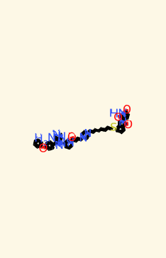 Nc1ncnc2c1c(-c1ccc(Oc3ccccc3)cc1)nn2[C@@H]1CCCN(C(=O)/C=C/CN2CCN(CCCCCCCCSc3cccc4c3CN(C3CCC(=O)NC3=O)C4=O)CC2)C1